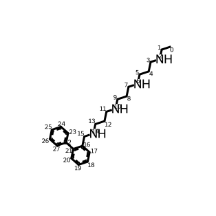 CCNCCCNCCCNCCCNCc1ccccc1-c1ccccc1